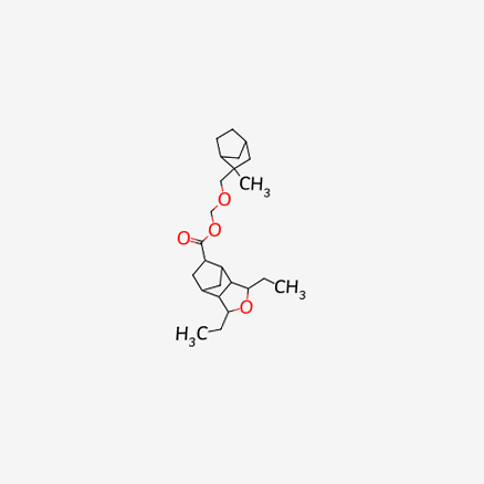 CCC1OC(CC)C2C3CC(CC3C(=O)OCOCC3(C)CC4CCC3C4)C12